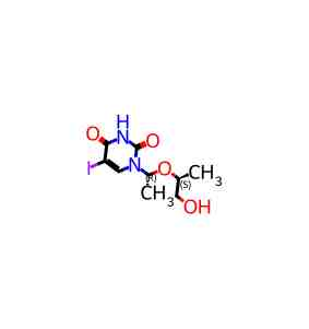 C[C@@H](CO)O[C@H](C)n1cc(I)c(=O)[nH]c1=O